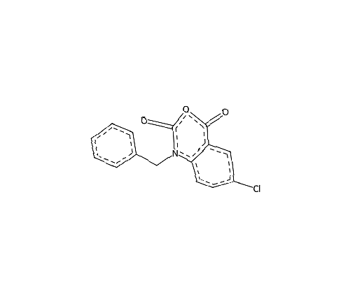 O=c1oc(=O)n(Cc2ccccc2)c2ccc(Cl)cc12